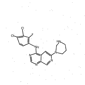 Fc1c(Nc2ncnc3cnc(N4CCCNC4)cc23)ccc(Cl)c1Cl